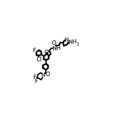 Nc1ccc(C=CC(=O)NCc2cc3cc(-c4ccc(C(=O)N5CCC(F)(F)CC5)cc4)cc(-c4ccc(F)cc4Cl)c3o2)cn1